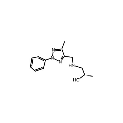 Cc1nn(-c2ccccc2)nc1CNC[C@H](C)O